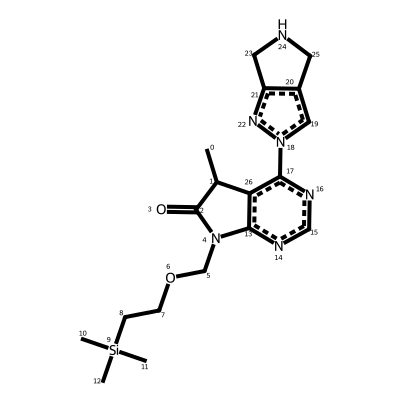 CC1C(=O)N(COCC[Si](C)(C)C)c2ncnc(-n3cc4c(n3)CNC4)c21